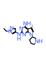 CCn1cc(Nc2nc(N)c3ccn(C4CCCNC4)c3n2)cn1